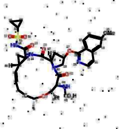 CC[C@@H]1O[C@H](C)CC/C=C\[C@@H]2CC2(C(=O)NS(=O)(=O)C2CC2)NC(=O)[C@@H]2C[C@@H](Oc3nccc4cc(OC)ccc34)CN2C(=O)[C@H]1NC(=O)O